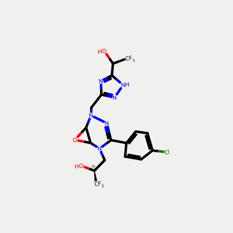 OC(c1nc(CN2N=C(c3ccc(Cl)cc3)N(C[C@H](O)C(F)(F)F)C3OC32)n[nH]1)C(F)(F)F